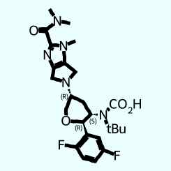 CN(C)C(=O)c1nc2c(n1C)CN([C@H]1CO[C@H](c3cc(F)ccc3F)[C@@H](N(C(=O)O)C(C)(C)C)C1)C2